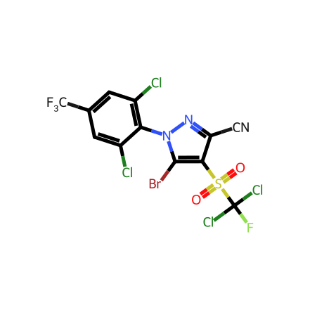 N#Cc1nn(-c2c(Cl)cc(C(F)(F)F)cc2Cl)c(Br)c1S(=O)(=O)C(F)(Cl)Cl